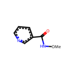 CONC(=O)c1[c]nccc1